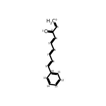 C=CC(=O)C=CC=CC=Cc1ccccc1